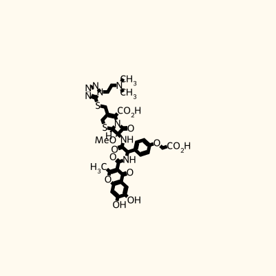 CO[C@@]1(NC(=O)C(NC(=O)c2c(C)oc3cc(O)c(O)cc3c2=O)c2ccc(OCC(=O)O)cc2)C(=O)N2C(C(=O)O)=C(CSc3nnnn3CCN(C)C)CS[C@H]21